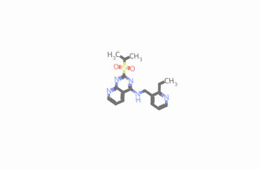 CCc1ncccc1CNc1nc(S(=O)(=O)C(C)C)nc2ncccc12